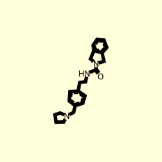 O=C(NCCc1ccc(CN2CCCC2)cc1)N1Cc2ccccc2C1